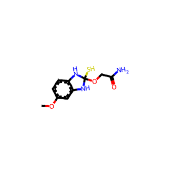 COc1c[c]c2c(c1)NC(S)(OCC(N)=O)N2